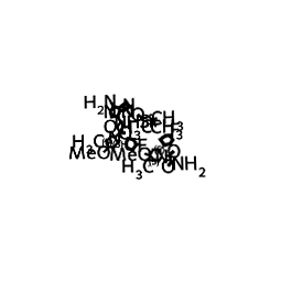 COC1C[C@@H](c2ccc(F)cc2)N(C(=O)C(=O)Nc2cnc(N)c3cnn(COCC[Si](C)(C)C)c23)C[C@@H]1C.COC1C[C@@H](c2ccc(F)cc2)N(C(=O)C(N)=O)C[C@@H]1C